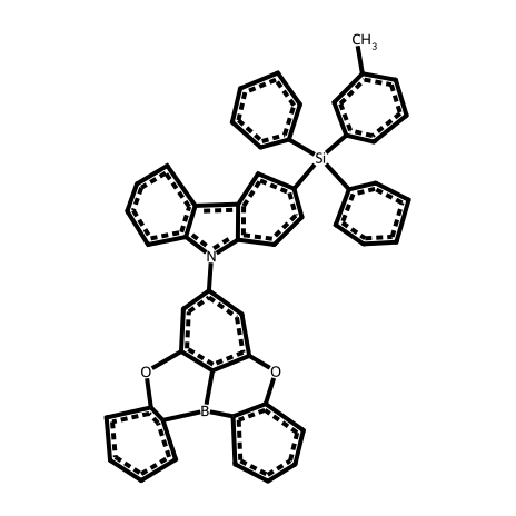 Cc1cccc([Si](c2ccccc2)(c2ccccc2)c2ccc3c(c2)c2ccccc2n3-c2cc3c4c(c2)Oc2ccccc2B4c2ccccc2O3)c1